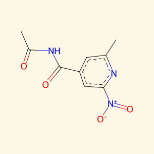 CC(=O)NC(=O)c1cc(C)nc([N+](=O)[O-])c1